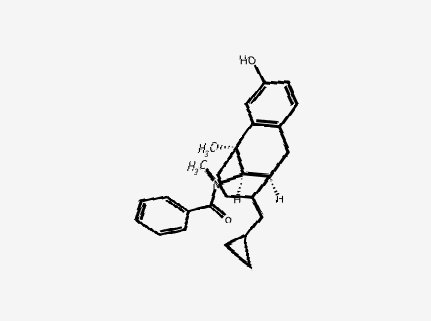 CN(C(=O)c1ccccc1)[C@@H]1[C@H]2Cc3ccc(O)cc3[C@]1(C)CCC2CC1CC1